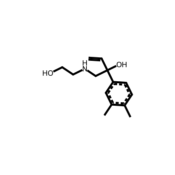 C=CC(O)(CNCCO)c1ccc(C)c(C)c1